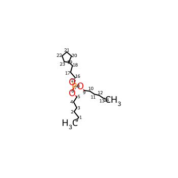 CCCCCCOP(OCCCCCC)OCCCC1CCCC1